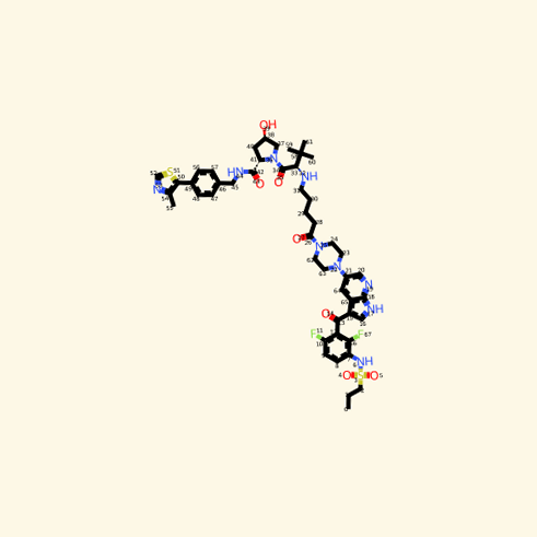 CCCS(=O)(=O)Nc1ccc(F)c(C(=O)c2c[nH]c3ncc(N4CCN(C(=O)CCCCN[C@H](C(=O)N5C[C@H](O)C[C@H]5C(=O)NCc5ccc(-c6scnc6C)cc5)C(C)(C)C)CC4)cc23)c1F